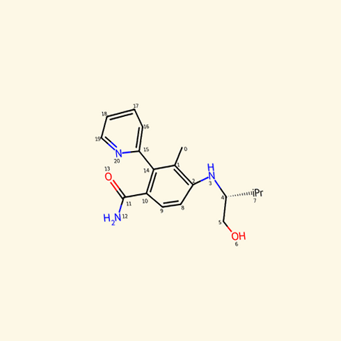 Cc1c(N[C@@H](CO)C(C)C)ccc(C(N)=O)c1-c1ccccn1